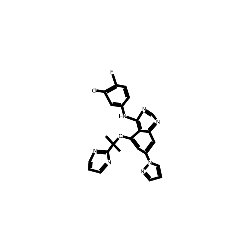 CC(C)(Oc1cc(-n2cccn2)cc2ncnc(Nc3ccc(F)c(Cl)c3)c12)c1ncccn1